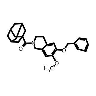 COc1cc2c(cc1OCc1ccccc1)CCN(C(=O)C13CC4CC(CC(C4)C1)C3)C2